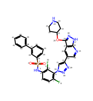 O=S(=O)(Nc1ccc(F)c(-n2cc(-c3cnc4[nH]nc(OC5CCNCC5)c4c3)nn2)c1F)c1cccc(-c2ccccc2)c1